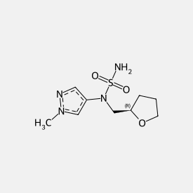 Cn1cc(N(C[C@H]2CCCO2)S(N)(=O)=O)cn1